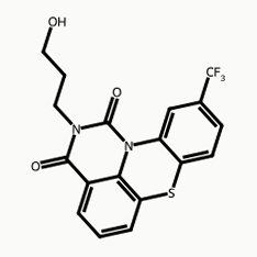 O=c1c2cccc3c2n(c(=O)n1CCCO)-c1cc(C(F)(F)F)ccc1S3